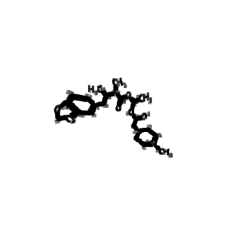 CC(OC(=O)CN1CCN(C)CC1)OC(=O)N(C)C(C)Cc1ccc2c(c1)OCO2